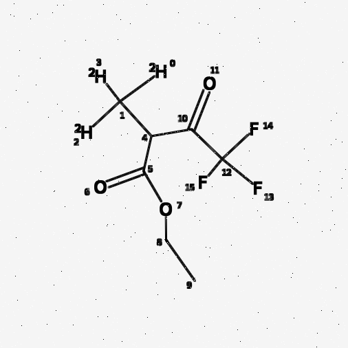 [2H]C([2H])([2H])C(C(=O)OCC)C(=O)C(F)(F)F